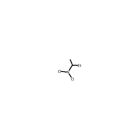 C[CH]C(C)N(Cl)Cl